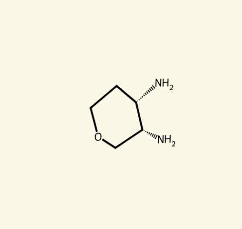 N[C@@H]1COCC[C@@H]1N